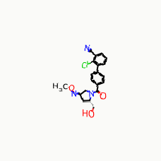 CO/N=C1/C[C@@H](CO)N(C(=O)c2ccc(-c3cccc(C#N)c3Cl)cc2)C1